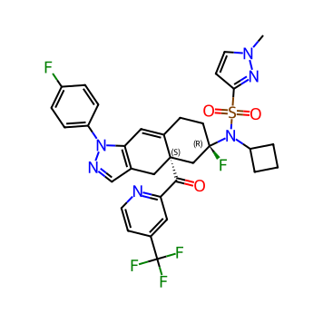 Cn1ccc(S(=O)(=O)N(C2CCC2)[C@@]2(F)CCC3=Cc4c(cnn4-c4ccc(F)cc4)C[C@]3(C(=O)c3cc(C(F)(F)F)ccn3)C2)n1